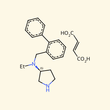 CCN(Cc1ccccc1-c1ccccc1)[C@H]1CCNC1.O=C(O)C=CC(=O)O